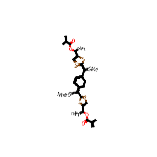 C=C(C)C(=O)OC(CCC)C1CSC(C(SC)C2CCC(C(SC)C3SCC(C(CCC)OC(=O)C(=C)C)S3)CC2)S1